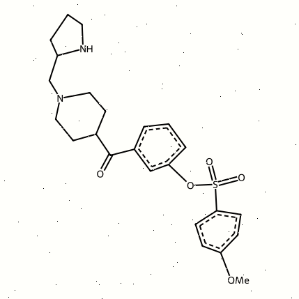 COc1ccc(S(=O)(=O)Oc2cccc(C(=O)C3CCN(CC4CCCN4)CC3)c2)cc1